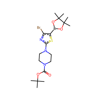 CC(C)(C)OC(=O)N1CCN(c2nc(Br)c(B3OC(C)(C)C(C)(C)O3)s2)CC1